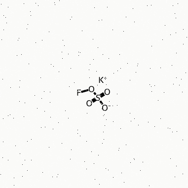 O=S(=O)([O-])OF.[K+]